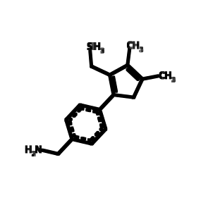 CC1=C(C)C(C[SiH3])=C(c2ccc(CN)cc2)C1